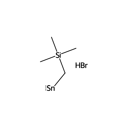 Br.C[Si](C)(C)[CH2][Sn]